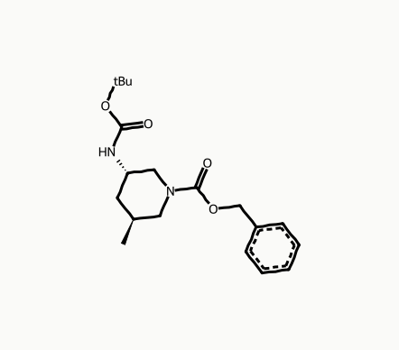 C[C@H]1C[C@H](NC(=O)OC(C)(C)C)CN(C(=O)OCc2ccccc2)C1